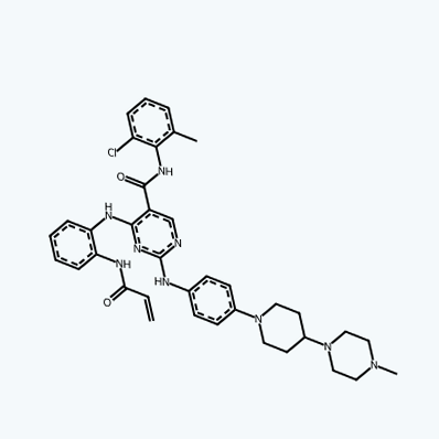 C=CC(=O)Nc1ccccc1Nc1nc(Nc2ccc(N3CCC(N4CCN(C)CC4)CC3)cc2)ncc1C(=O)Nc1c(C)cccc1Cl